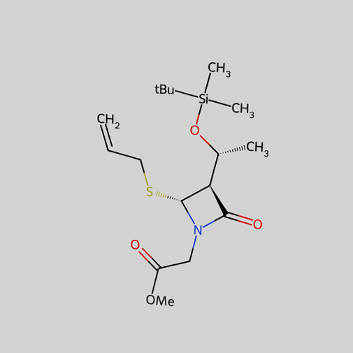 C=CCS[C@@H]1[C@@H]([C@@H](C)O[Si](C)(C)C(C)(C)C)C(=O)N1CC(=O)OC